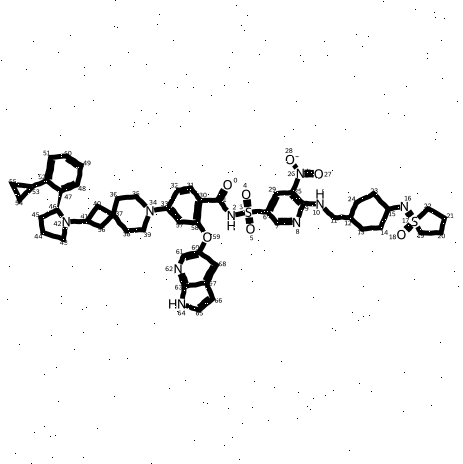 O=C(NS(=O)(=O)c1cnc(NCC2CCC(N=S3(=O)CCCC3)CC2)c([N+](=O)[O-])c1)c1ccc(N2CCC3(CC2)CC(N2CCC[C@H]2c2ccccc2C2CC2)C3)cc1Oc1cnc2[nH]ccc2c1